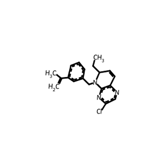 C=C(C)c1cccc(CN2c3nc(Cl)cnc3C=CC2CC)c1